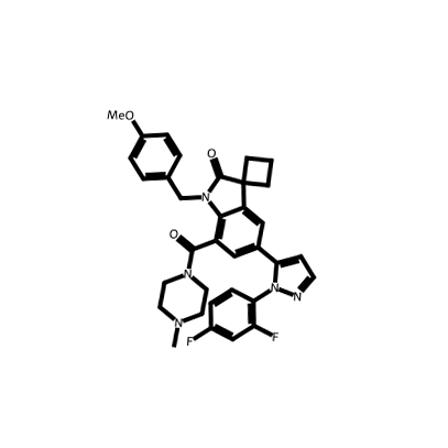 COc1ccc(CN2C(=O)C3(CCC3)c3cc(-c4ccnn4-c4ccc(F)cc4F)cc(C(=O)N4CCN(C)CC4)c32)cc1